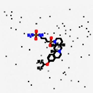 CC(C)Oc1ccc2c(c1)CCN1C[C@H]3CCCN(S(=O)(=O)CCCNS(N)(=O)=O)[C@H]3C[C@@H]21